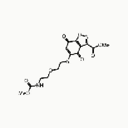 COC(=O)NCCOCCSC1=CC(=O)c2onc(C(=O)OC)c2C1=O